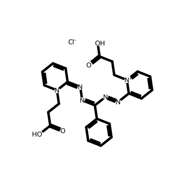 O=C(O)CCn1ccccc1=NN=C(N=Nc1cccc[n+]1CCC(=O)O)c1ccccc1.[Cl-]